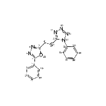 c1ccc(-c2nnc(CSc3nnnn3-c3ccccc3)o2)cc1